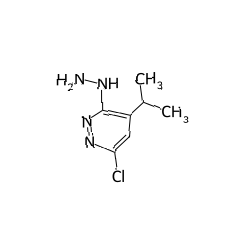 CC(C)c1cc(Cl)nnc1NN